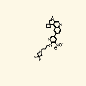 CN1CC2(CCC2)c2c1cnc1ccc(-c3cnc(OCCCN4CC(F)(F)C4)c([N+](=O)[O-])c3)cc21